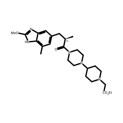 CCOC(=O)CN1CCC(N2CCN(C(=O)[C@H](C)Cc3cc(C)c4[nH]c(OC)nc4c3)CC2)CC1